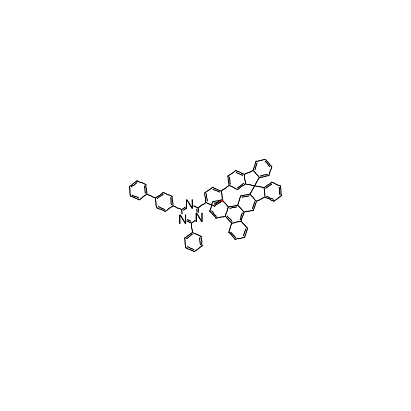 c1ccc(-c2ccc(-c3nc(-c4ccccc4)nc(-c4ccc(-c5ccc6c(c5)C5(c7ccccc7-6)c6ccccc6-c6cc7c8ccccc8c8ccccc8c7cc65)cc4)n3)cc2)cc1